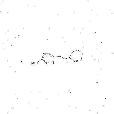 COc1ccc(CCC2C=CCCC2)cc1